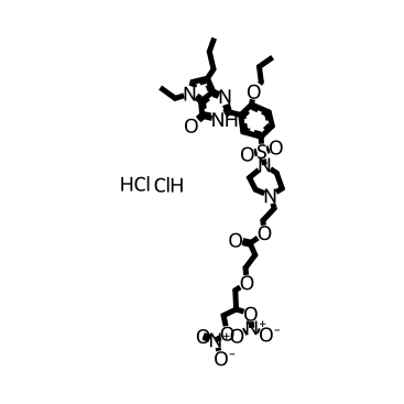 CCCOc1ccc(S(=O)(=O)N2CCN(CCOC(=O)CCOCC(CO[N+](=O)[O-])O[N+](=O)[O-])CC2)cc1-c1nc2c(CCC)cn(CC)c2c(=O)[nH]1.Cl.Cl